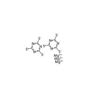 [Mg+2].[Mg+2].[Mg+2].[S-]c1nc([S-])nc([S-])n1.[S-]c1nc([S-])nc([S-])n1